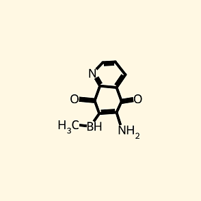 CBC1=C(N)C(=O)c2cccnc2C1=O